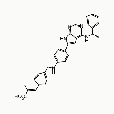 C/C(=C\c1ccc(CNc2ccc(-c3cc4c(N[C@H](C)c5ccccc5)ncnc4[nH]3)cc2)cc1)C(=O)O